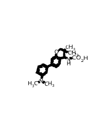 CN(C)c1cccc(-c2ccc3c(c2)OCC(C)(C)C3NC(=O)O)c1